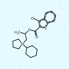 CC(C[N+]1(C2CCCCC2)CCCC1)OC(=O)c1sc2ccccc2c1Cl